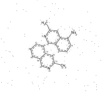 Cc1cc2c(N)cccc2cn1.Cc1cc2ccccc2cn1